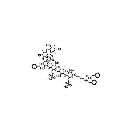 CNC1C(C)[C@H](O[C@@H]2O[C@@H](C)[C@@H](O)C(C)C2O)[C@H](COS(=O)(=O)O)O[C@@H]1O[C@@H]1C(C)O[C@@H](O[C@@H]2C(COS(=O)(=O)O)O[C@H](O[C@H]3C(C)C(O)[C@H](O[C@H]4C(C)C(NC)[C@@H](OCCCCCN(Cc5ccccc5)C(=O)OCc5ccccc5)O[C@H]4COS(=O)(=O)O)O[C@H]3C)[C@@H](NC)C2C)C(O)[C@@H]1OCc1ccccc1